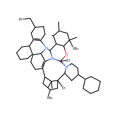 CCC12OC3C(C(C)C(C)CC3(C)C(C)(C)C)C3N(C4=C(C5CCCCC5)CC(CC(C)C)CC4)C4CCCC(=C4N31)C1CC(C(C)(C)C)CC(CC)(C3CC(C4CCCCC4)CCN32)C1(C)C